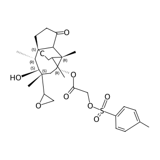 Cc1ccc(S(=O)(=O)OCC(=O)O[C@@H]2C[C@](C)(C3CO3)[C@@H](O)[C@H](C)[C@]34CCC(=O)C3[C@@]2(C)C(C)CC4)cc1